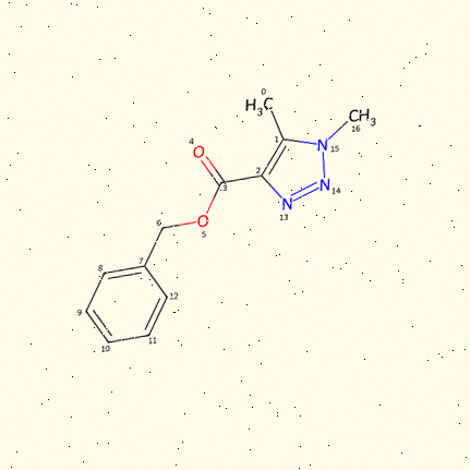 Cc1c(C(=O)OCc2ccccc2)nnn1C